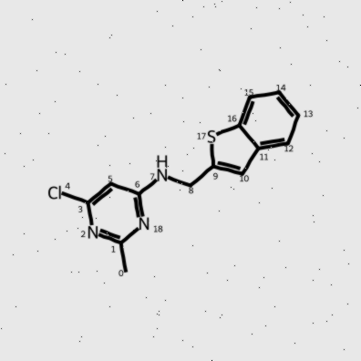 Cc1nc(Cl)cc(NCc2cc3ccccc3s2)n1